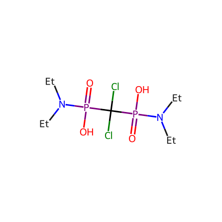 CCN(CC)P(=O)(O)C(Cl)(Cl)P(=O)(O)N(CC)CC